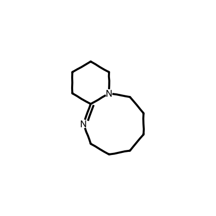 C1CCCN2CCCCC2=NCC1